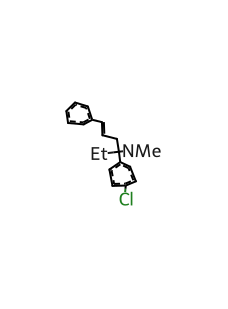 CCC(CC=Cc1ccccc1)(NC)c1ccc(Cl)cc1